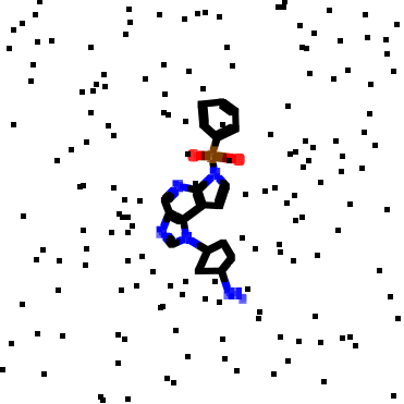 NC1CCC(n2cnc3cnc4c(ccn4S(=O)(=O)c4ccccc4)c32)C1